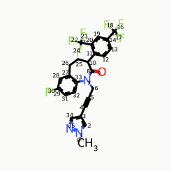 Cn1cc(C#CCN2C(=O)C(c3ccc(C(F)(F)F)cc3C(F)(F)F)CCc3cc(F)ccc32)cn1